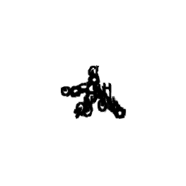 COc1ccc(/C=C2\CN(C(=O)OC(C)(C)C)Cc3c(C(=O)NN4CC5CCCC5C4)nn(-c4ccc(Cl)cc4Cl)c32)cc1